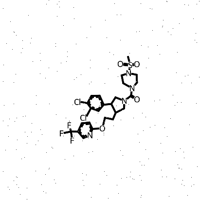 CS(=O)(=O)N1CCN(C(=O)N2CC(CCOc3ccc(C(F)(F)F)cn3)C(c3ccc(Cl)c(Cl)c3)C2)CC1